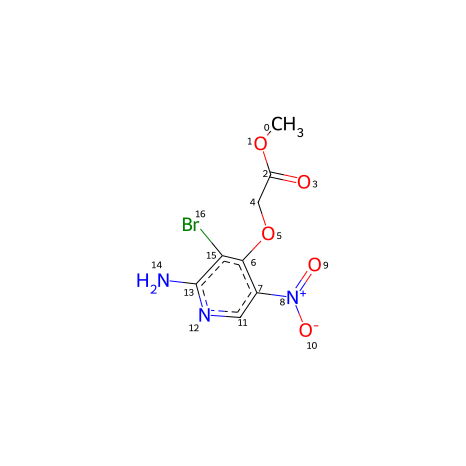 COC(=O)COc1c([N+](=O)[O-])cnc(N)c1Br